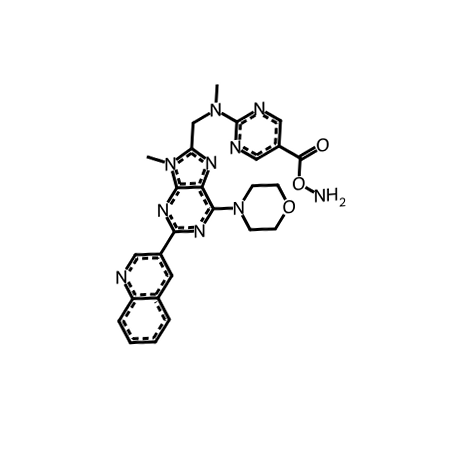 CN(Cc1nc2c(N3CCOCC3)nc(-c3cnc4ccccc4c3)nc2n1C)c1ncc(C(=O)ON)cn1